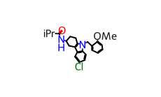 COc1ccccc1Cn1c2c(c3cc(Cl)ccc31)CC(NC(=O)C(C)C)CC2